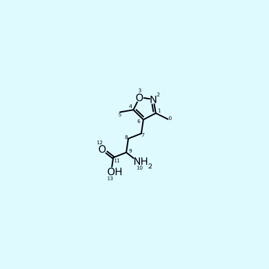 Cc1noc(C)c1CCC(N)C(=O)O